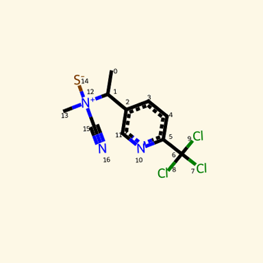 CC(c1ccc(C(Cl)(Cl)Cl)nc1)[N+](C)([S-])C#N